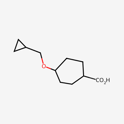 O=C(O)C1CCC(OCC2CC2)CC1